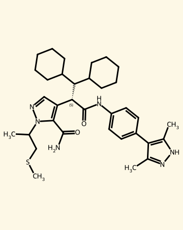 CSCC(C)n1ncc([C@@H](C(=O)Nc2ccc(-c3c(C)n[nH]c3C)cc2)C(C2CCCCC2)C2CCCCC2)c1C(N)=O